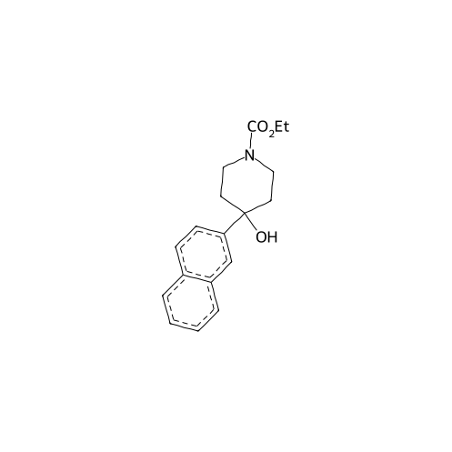 CCOC(=O)N1CCC(O)(c2ccc3ccccc3c2)CC1